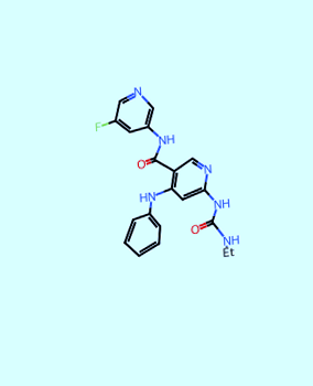 CCNC(=O)Nc1cc(Nc2ccccc2)c(C(=O)Nc2cncc(F)c2)cn1